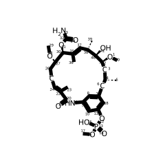 CO[C@H]1C[C@H](C)Cc2cc(cc(OP(=O)(O)OC)c2)NC(=O)/C(C)=C/CC[C@H](OC)[C@@H](OC(N)=O)/C(C)=C/[C@H](C)[C@H]1O